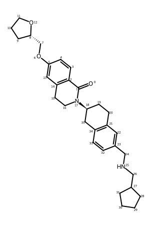 O=C1c2ccc(OC[C@@H]3CCCO3)cc2CCN1[C@H]1CCc2cc(CNCC3CCCC3)ccc2C1